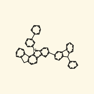 c1ccc(-c2cccc(-n3c4ccc(-c5ccc6c(c5)-c5ccccc5C6c5ccccc5)cc4c4ccc5c(c43)-c3ccccc3C5)c2)cc1